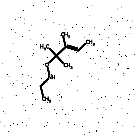 C/C=C(\C)C(C)(C)ONCC